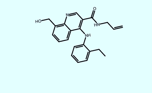 C=CCNC(=O)c1cnc2c(CO)cccc2c1Nc1ccccc1CC